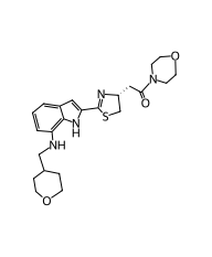 O=C(C[C@@H]1CSC(c2cc3cccc(NCC4CCOCC4)c3[nH]2)=N1)N1CCOCC1